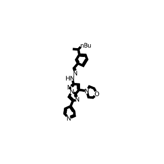 CCCCC(C)c1cccc(C=NNc2cc(N3CCOCC3)c3nc(-c4ccncc4)cn3n2)c1